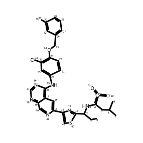 CCC(NC(CC(C)C)=S(=O)=O)c1nc(-c2cc3c(Nc4ccc(OCc5cccc(F)c5)c(Cl)c4)ncnc3cn2)cs1